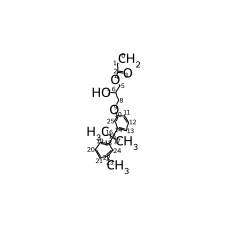 C=CC(=O)OCC(O)COc1cccc(C(C)(C)c2cccc(C)c2)c1